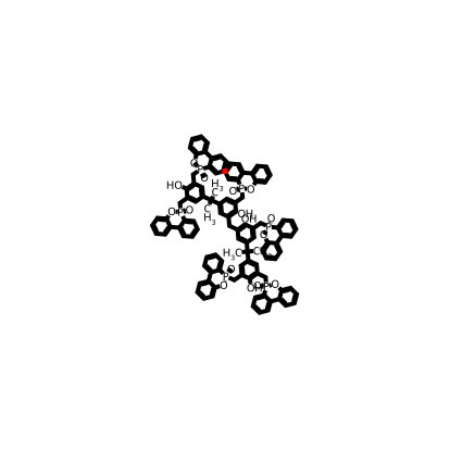 CC(C)(c1cc(Cc2cc(C(C)(C)c3cc(CP4(=O)Oc5ccccc5-c5ccccc54)c(O)c(CP4(=O)Oc5ccccc5-c5ccccc54)c3)cc(CP3(=O)Oc4ccccc4-c4ccccc43)c2O)c(O)c(CP2(=O)Oc3ccccc3-c3ccccc32)c1)c1cc(CP2(=O)Oc3ccccc3-c3ccccc32)c(O)c(CP2(=O)Oc3ccccc3-c3ccccc32)c1